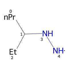 CCCC(CC)N[NH]